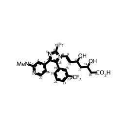 CNc1cc(-c2nc(C(C)C)n(/C=C/C(O)CC(O)CC(=O)O)c2-c2cccc(C(F)(F)F)c2)ccn1